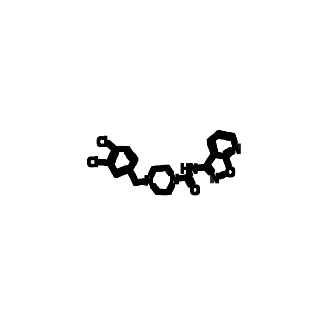 O=C(Nc1noc2ncccc12)N1CCN(Cc2ccc(Cl)c(Cl)c2)CC1